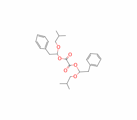 CC(C)COC(Cc1ccccc1)OC(=O)C(=O)OC(Cc1ccccc1)OCC(C)C